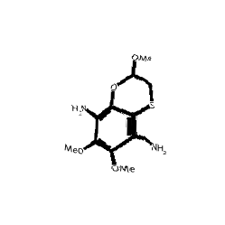 COc1c(N)c2c(c(N)c1OC)SCC(OC)O2